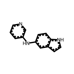 c1cncc(Nc2ccc3[nH]ccc3c2)c1